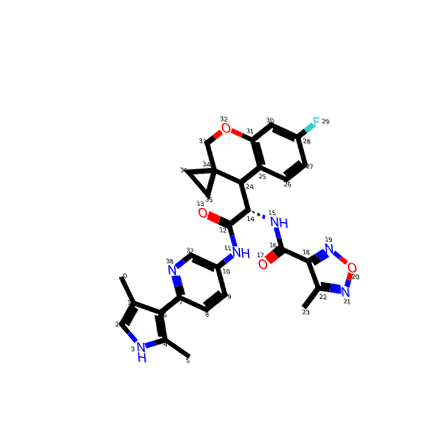 Cc1c[nH]c(C)c1-c1ccc(NC(=O)[C@@H](NC(=O)c2nonc2C)C2c3ccc(F)cc3OCC23CC3)cn1